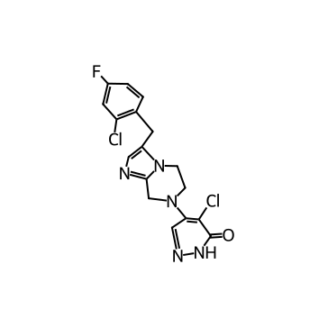 O=c1[nH]ncc(N2CCn3c(Cc4ccc(F)cc4Cl)cnc3C2)c1Cl